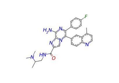 Cc1ccnc2ccc(-c3c(-c4ccc(F)cc4)nc(N)c4nc(C(=O)NCC(C)N(C)C)cn34)cc12